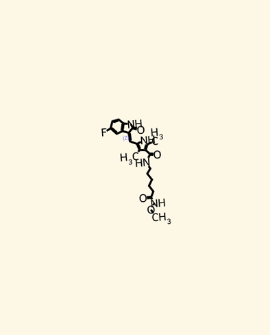 CONC(=O)CCCCCNC(=O)c1c(C)[nH]c(/C=C2\C(=O)Nc3ccc(F)cc32)c1C